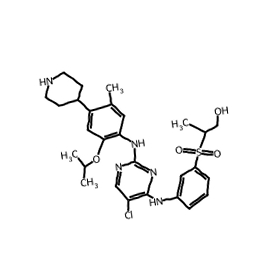 Cc1cc(Nc2ncc(Cl)c(Nc3cccc(S(=O)(=O)C(C)CO)c3)n2)c(OC(C)C)cc1C1CCNCC1